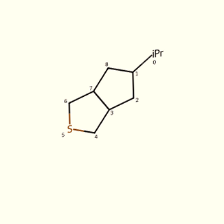 CC(C)C1CC2CSCC2C1